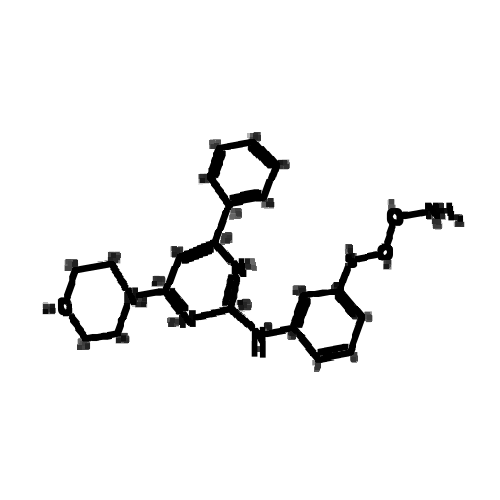 NOOSc1cccc(Nc2nc(-c3ccccc3)cc(N3CCOCC3)n2)c1